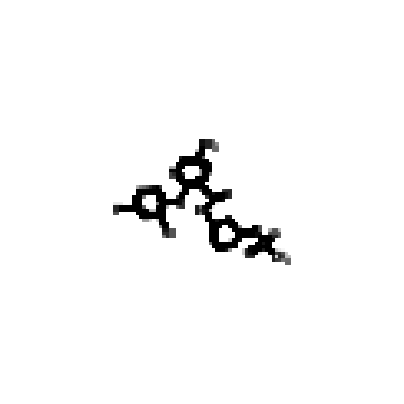 CS(=O)(=O)N=C1C=CC=C(NC(=O)c2cc(C(F)(F)F)cnc2Oc2ccc(F)cc2Cl)C1